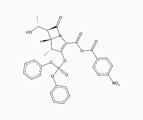 C[C@@H](O)[C@H]1C(=O)N2C(C(=O)OC(=O)c3ccc([N+](=O)[O-])cc3)=C(OP(=O)(Oc3ccccc3)Oc3ccccc3)[C@H](C)[C@H]12